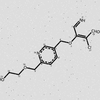 N=C/C(OCc1ccc(COCCO)nc1)=C(/Cl)C=O